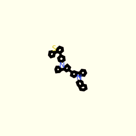 c1ccc2cc(-n3c4ccccc4c4cc(-c5ccc6c(c5)c5ccccc5n6-c5ccc(-c6cccc7sc8ccccc8c67)cc5)ccc43)ccc2c1